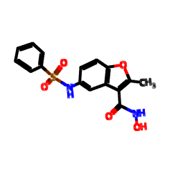 Cc1oc2ccc(NS(=O)(=O)c3ccccc3)cc2c1C(=O)NO